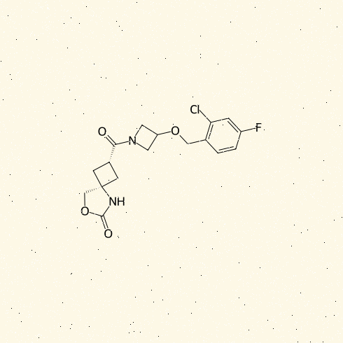 O=C1N[C@]2(CO1)C[C@@H](C(=O)N1CC(OCc3ccc(F)cc3Cl)C1)C2